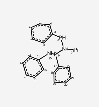 CC(C)N(Pc1ccccc1)P(Nc1ccccc1)c1ccccc1